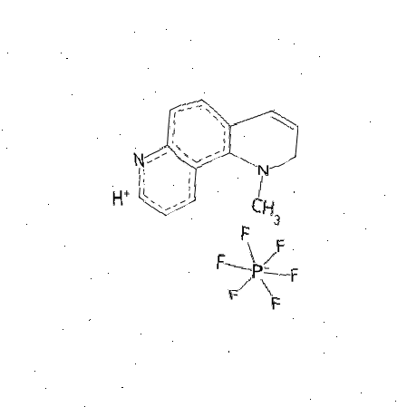 CN1CC=Cc2ccc3ncccc3c21.F[P-](F)(F)(F)(F)F.[H+]